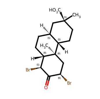 C[C@]1(C(=O)O)CC[C@H]2[C@@H](CC[C@H]3[C@H](Br)C(=O)[C@H](Br)C[C@]23C)C1